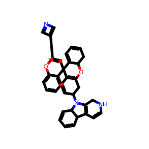 C1=CCC2OC3=C(C=CC(N4C5=C(C=CNC5)C5C=CC=CC54)C3)C3(C2=C1)C1=C(C=C(C2=CN=C2)CC1)Oc1ccccc13